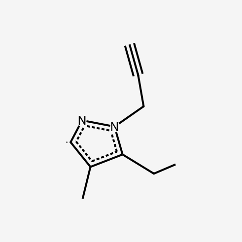 C#CCn1n[c]c(C)c1CC